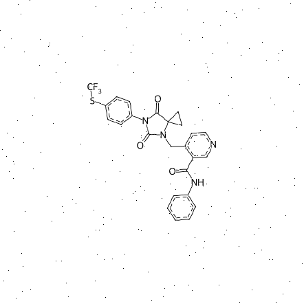 O=C(Nc1ccccc1)c1cnccc1CN1C(=O)N(c2ccc(SC(F)(F)F)cc2)C(=O)C12CC2